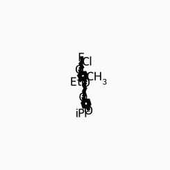 CCc1cc(OC/C=C(/F)Cl)cc(C)c1OCCCCOc1ccc(OC(C)C)cc1